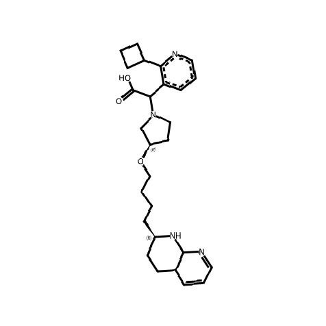 O=C(O)C(c1cccnc1C1CCC1)N1CC[C@@H](OCCCC[C@@H]2CCC3C=CC=NC3N2)C1